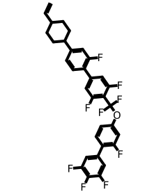 C=CC1CCC(c2ccc(-c3cc(F)c(C(F)(F)Oc4ccc(-c5cc(F)c(F)c(F)c5)c(F)c4)c(F)c3)c(F)c2)CC1